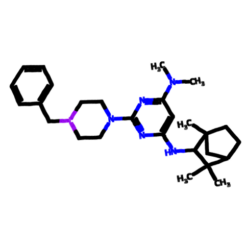 CN(C)c1cc(NC2C3(C)CCC(C3)C2(C)C)nc(N2CCI(Cc3ccccc3)CC2)n1